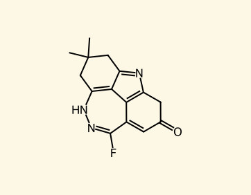 CC1(C)CC2=NC3=C4C(=CC(=O)C3)C(F)=NNC(=C24)C1